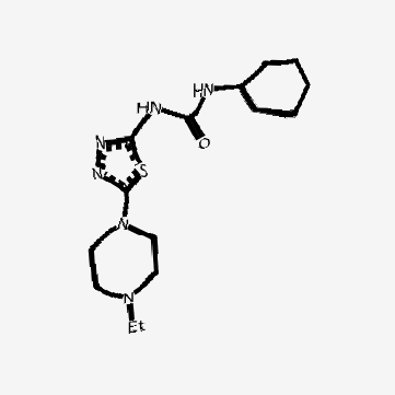 CCN1CCN(c2nnc(NC(=O)NC3CCCCC3)s2)CC1